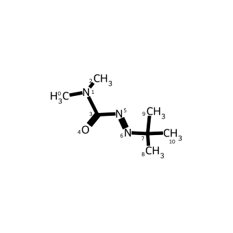 CN(C)C(=O)/N=N/C(C)(C)C